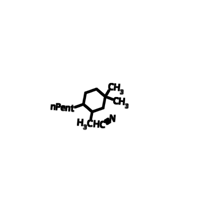 C#N.CCCCCC1CCC(C)(C)CC1C